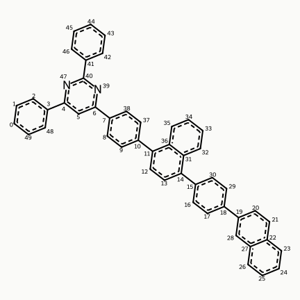 c1ccc(-c2cc(-c3ccc(-c4ccc(-c5ccc(-c6ccc7ccccc7c6)cc5)c5ccccc45)cc3)nc(-c3ccccc3)n2)cc1